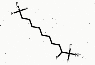 NC(F)(F)C(F)CCCCCCCCC(F)(F)F